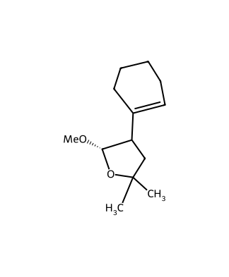 CO[C@H]1OC(C)(C)CC1C1=CCCCC1